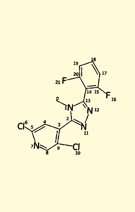 Cn1c(-c2cc(Cl)ncc2Cl)nnc1-c1c(F)cccc1F